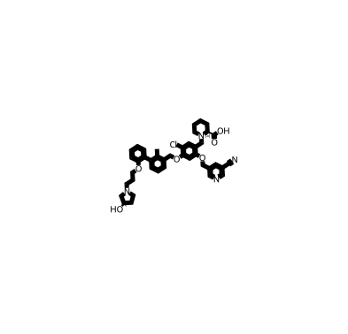 Cc1c(COc2cc(OCc3cncc(C#N)c3)c(CN3CCCC[C@H]3C(=O)O)cc2Cl)cccc1-c1ccccc1OCCCN1CC[C@@H](O)C1